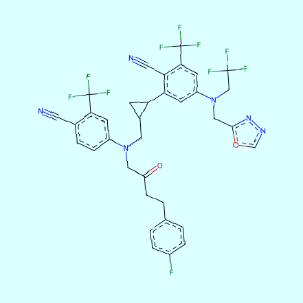 N#Cc1ccc(N(CC(=O)CCc2ccc(F)cc2)CC2CC2c2cc(N(Cc3nnco3)CC(F)(F)F)cc(C(F)(F)F)c2C#N)cc1C(F)(F)F